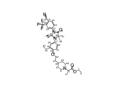 CCOC(=O)C(C)N1CCC(CCOc2ccc(N3C(=S)N(c4ccc(C#N)c(C(F)(F)F)c4)C(=O)C3(C)C)cc2CC)CC1